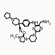 CN1CCN([C@@H]2CCCN(c3cnc(CN)c(Nc4ccc(C5(C#N)CCN(C6CCCC6)CC5)cc4)n3)C2)C1=O